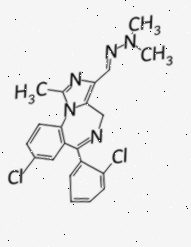 Cc1nc(/C=N/N(C)C)c2n1-c1ccc(Cl)cc1C(c1ccccc1Cl)=NC2